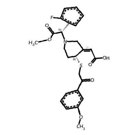 COC(=O)[C@H](c1ccccc1F)N1CC[C@@H](SCC(=O)c2cccc(OC)c2)/C(=C\C(=O)O)C1